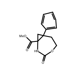 COC(=O)C12CC1(c1ccccc1)CCOC(=O)N2